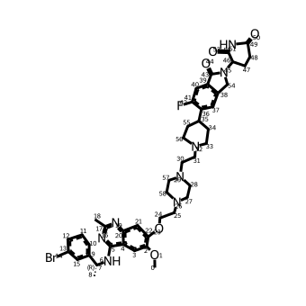 COc1cc2c(N[C@H](C)c3cccc(Br)c3)nc(C)nc2cc1OCCN1CCN(CCN2CCC(c3cc4c(cc3F)C(=O)N(C3CCC(=O)NC3=O)C4)CC2)CC1